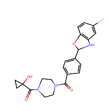 O=C(c1ccc(C2Nc3cc(F)ccc3O2)cc1)N1CCN(C(=O)C2(O)CC2)CC1